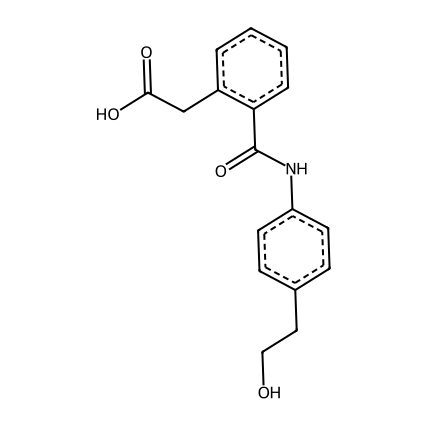 O=C(O)Cc1ccccc1C(=O)Nc1ccc(CCO)cc1